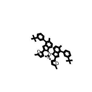 Cc1ccc(C2=Cc3c(ccc(C)c3-c3cccc(C(C)(C)C)c3)[CH]2[Zr]([CH]2C(c3ccc(C)o3)=Cc3c2ccc(C)c3-c2cccc(C(C)(C)C)c2)=[Si](C)C)o1